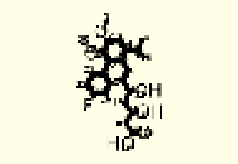 COc1cc(C(C)C)c(C=CC(O)CC(O)CC(=O)O)c(-c2ccc(F)cc2)c1OC